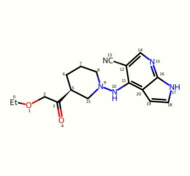 CCOCC(=O)[C@H]1CCCN(Nc2c(C#N)cnc3[nH]ccc23)C1